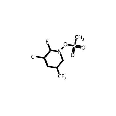 CS(=O)(=O)ON1CC(C(F)(F)F)CC(Cl)C1F